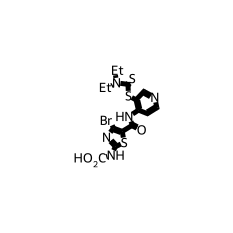 CCN(CC)C(=S)Sc1cnccc1NC(=O)c1sc(NC(=O)O)nc1Br